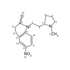 CN1CCCC1CCN1C(=O)CCc2cc([N+](=O)[O-])ccc21